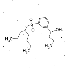 CCCCC(CCC)CS(=O)(=O)c1cccc(C(O)CCN)c1